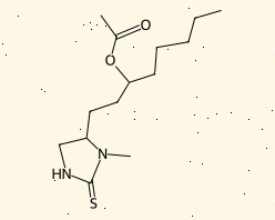 CCCCCC(CCC1CNC(=S)N1C)OC(C)=O